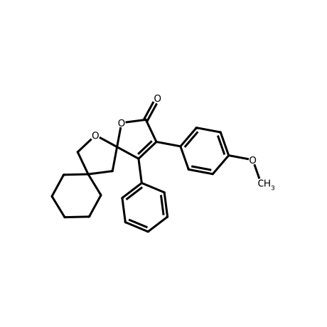 COc1ccc(C2=C(c3ccccc3)C3(CC4(CCCCC4)CO3)OC2=O)cc1